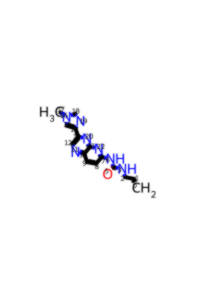 C=CCNC(=O)Nc1ccc2ncc(-c3cn(C)cn3)nc2n1